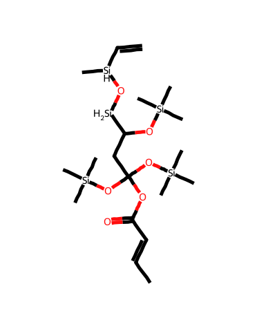 C=C[SiH](C)O[SiH2]C(CC(OC(=O)C=CC)(O[Si](C)(C)C)O[Si](C)(C)C)O[Si](C)(C)C